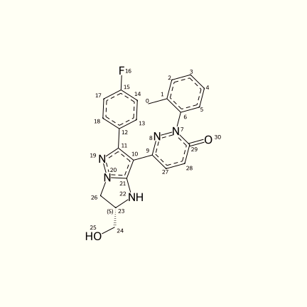 Cc1ccccc1-n1nc(-c2c(-c3ccc(F)cc3)nn3c2N[C@H](CO)C3)ccc1=O